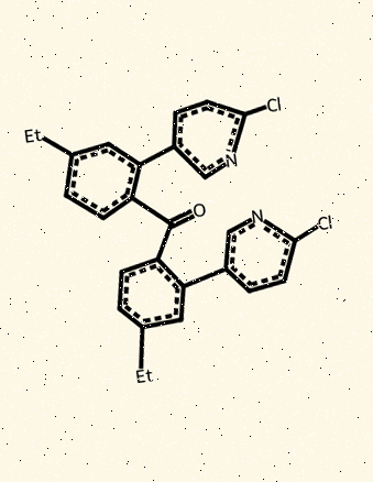 CCc1ccc(C(=O)c2ccc(CC)cc2-c2ccc(Cl)nc2)c(-c2ccc(Cl)nc2)c1